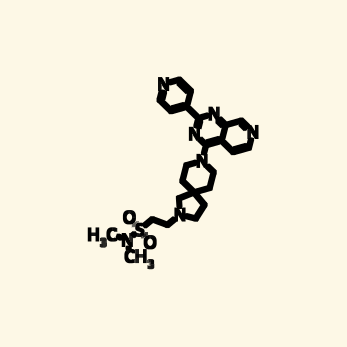 CN(C)S(=O)(=O)CCN1CCC2(CCN(c3nc(-c4ccncc4)nc4cnccc34)CC2)C1